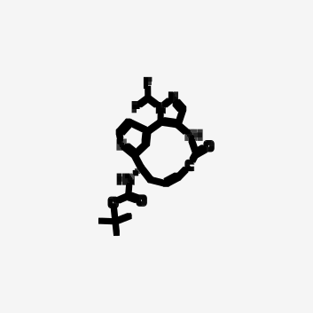 CC(C)(C)OC(=O)N[C@H]1CC=CCC(=O)Nc2cnn(C(F)F)c2-c2ccnc1c2